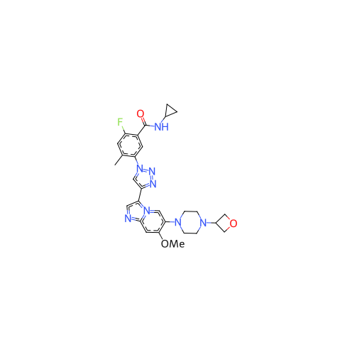 COc1cc2ncc(-c3cn(-c4cc(C(=O)NC5CC5)c(F)cc4C)nn3)n2cc1N1CCN(C2COC2)CC1